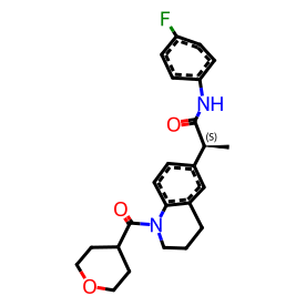 C[C@H](C(=O)Nc1ccc(F)cc1)c1ccc2c(c1)CCCN2C(=O)C1CCOCC1